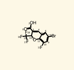 O=C(O)C1=Cc2cc(Br)cc(F)c2OC1C(F)(F)F